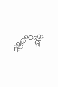 CC(OC(=O)N1CCC(OC2CCC(Oc3ccncc3[S+](C)[O-])CC2)CC1)C(F)(F)F